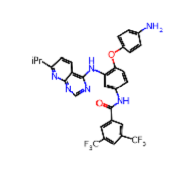 CC(C)c1ccc2c(Nc3cc(NC(=O)c4cc(C(F)(F)F)cc(C(F)(F)F)c4)ccc3Oc3ccc(N)cc3)ncnc2n1